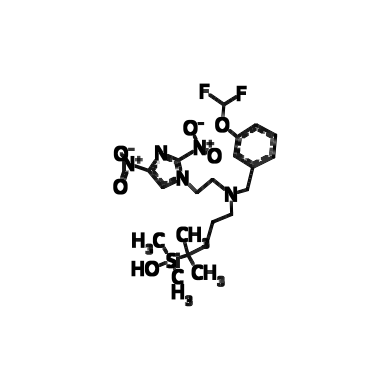 CC(C)(CCCN(CCn1cc([N+](=O)[O-])nc1[N+](=O)[O-])Cc1cccc(OC(F)F)c1)[Si](C)(C)O